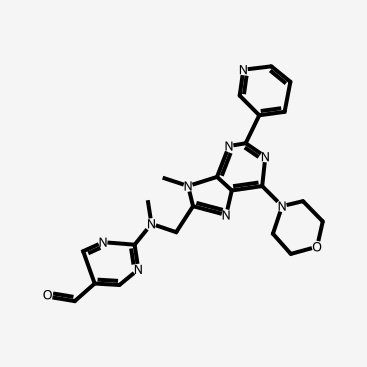 CN(Cc1nc2c(N3CCOCC3)nc(-c3cccnc3)nc2n1C)c1ncc(C=O)cn1